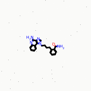 NC(=O)c1ccccc1CCCCn1cnc2c(N)nc3ccccc3c21